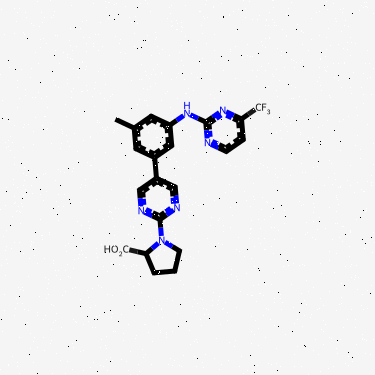 Cc1cc(Nc2nccc(C(F)(F)F)n2)cc(-c2cnc(N3CCCC3C(=O)O)nc2)c1